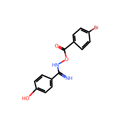 N=C(NOC(=O)c1ccc(Br)cc1)c1ccc(O)cc1